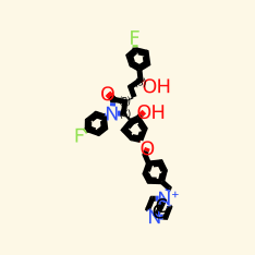 O=C1[C@H](CC[C@H](O)c2ccc(F)cc2)[C@@H](c2ccc(OCc3ccc(C[N+]45CCN(CC4)CC5)cc3)cc2O)N1c1ccc(F)cc1